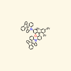 CC(C)c1cc(C(C)C)c(B2c3ccc(N4c5ccccc5[Si]5(c6ccccc6-c6ccccc65)c5ccccc54)cc3Oc3c2cccc3N2c3ccccc3[Si]3(c4ccccc4-c4ccccc43)c3ccccc32)c(C(C)C)c1